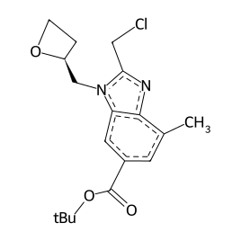 Cc1cc(C(=O)OC(C)(C)C)cc2c1nc(CCl)n2C[C@@H]1CCO1